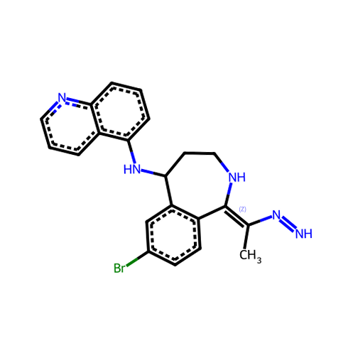 C/C(N=N)=C1/NCCC(Nc2cccc3ncccc23)c2cc(Br)ccc21